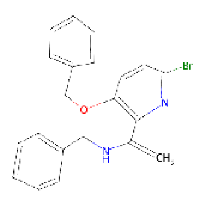 C=C(NCc1ccccc1)c1nc(Br)ccc1OCc1ccccc1